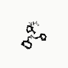 N.c1ccc(CN(Cc2ccccc2)Cc2ccccc2)cc1